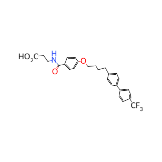 O=C(O)CCNC(=O)c1ccc(OCCCCc2ccc(-c3ccc(C(F)(F)F)cc3)cc2)cc1